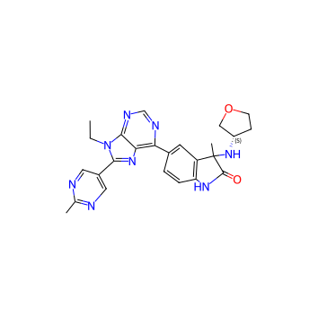 CCn1c(-c2cnc(C)nc2)nc2c(-c3ccc4c(c3)C(C)(N[C@H]3CCOC3)C(=O)N4)ncnc21